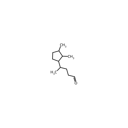 CC1CCC(C(C)CCC=O)C1C